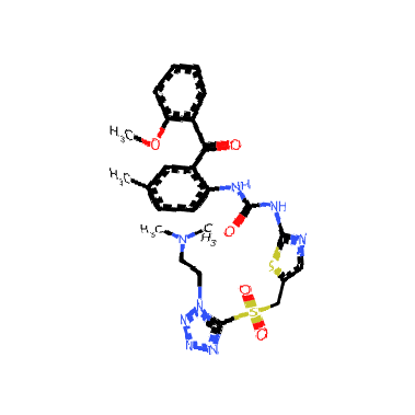 COc1ccccc1C(=O)c1cc(C)ccc1NC(=O)Nc1ncc(CS(=O)(=O)c2nnnn2CCN(C)C)s1